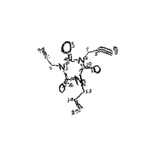 C#CCn1c(=O)n(CC#C)c(=O)n(CC=C)c1=O